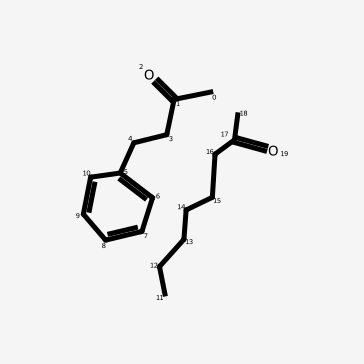 CC(=O)CCc1ccccc1.CCCCCCC(C)=O